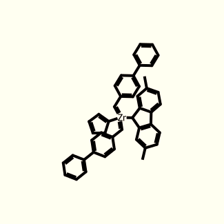 Cc1ccc2c(c1)[CH]([Zr](=[CH]c1ccc(-c3ccccc3)cc1)(=[CH]c1ccc(-c3ccccc3)cc1)[C]1=CC=CC1)c1cc(C)ccc1-2